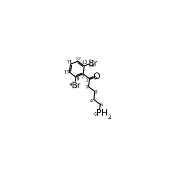 O=C(CCCCP)c1c(Br)cccc1Br